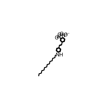 CCCCCCCCCCCCCCNc1ccc(C=Cc2ccc([N+](=O)[O-])c([N+](=O)[O-])c2)cc1